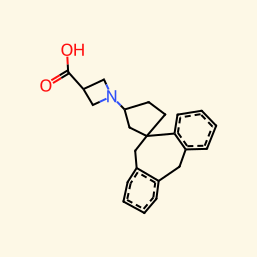 O=C(O)C1CN(C2CCC3(Cc4ccccc4Cc4ccccc43)C2)C1